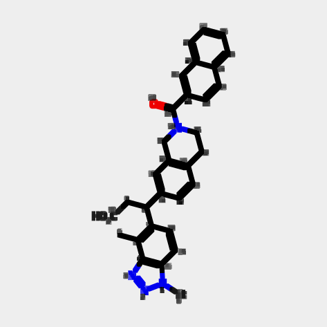 CCn1nnc2c(C)c(C(CC(=O)O)c3ccc4c(c3)CN(C(=O)c3ccc5ccccc5c3)CC4)ccc21